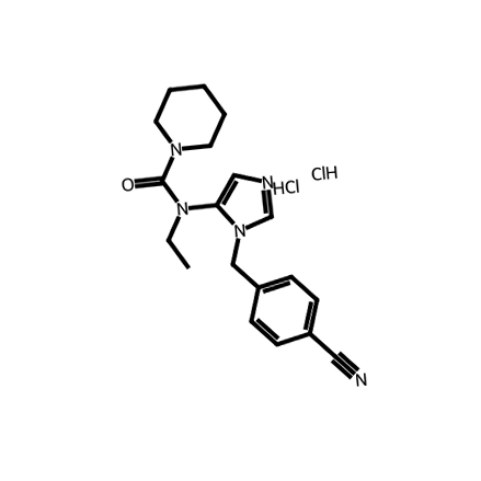 CCN(C(=O)N1CCCCC1)c1cncn1Cc1ccc(C#N)cc1.Cl.Cl